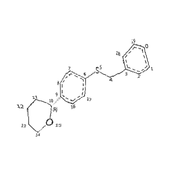 c1ccc(CSc2ccc([C@H]3CCCCO3)cc2)cc1